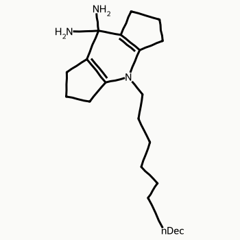 CCCCCCCCCCCCCCCCN1C2=C(CCC2)C(N)(N)C2=C1CCC2